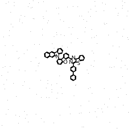 c1ccc(-c2ccc(-c3nc(-c4cccc5c4oc4cccc(-n6c7ccccc7c7cc8ccccc8cc76)c45)nc4c3sc3ccccc34)cc2)cc1